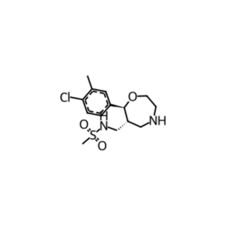 Cc1cc([C@H]2OCCNC[C@@H]2CNS(C)(=O)=O)ccc1Cl